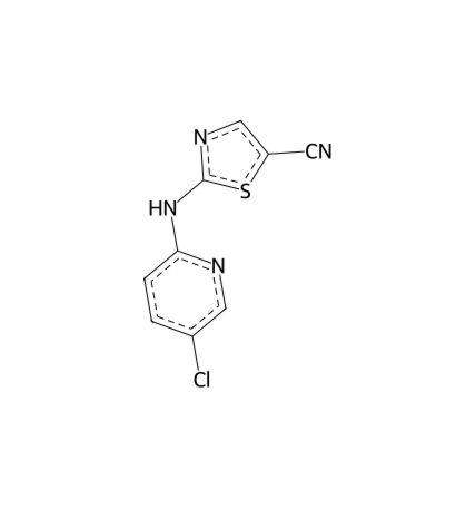 N#Cc1cnc(Nc2ccc(Cl)cn2)s1